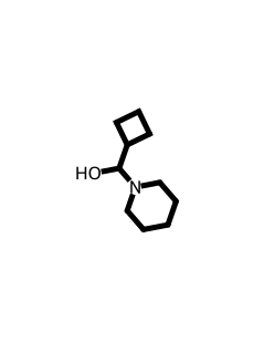 OC([C]1CCC1)N1CCCCC1